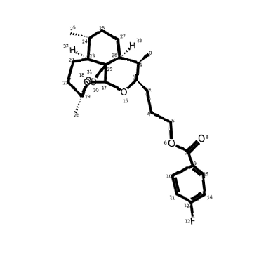 C[C@H]1[C@@H](CCCOC(=O)c2ccc(F)cc2)OC2O[C@]3(C)CC[C@H]4[C@H](C)CC[C@@H]1C24OO3